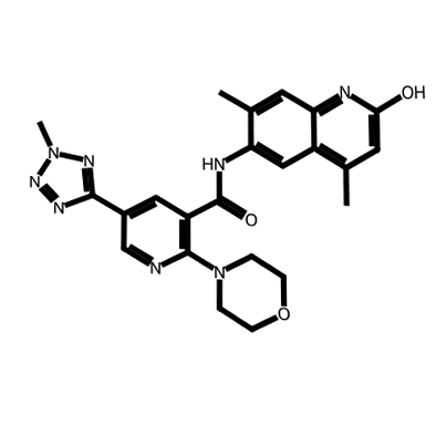 Cc1cc2nc(O)cc(C)c2cc1NC(=O)c1cc(-c2nnn(C)n2)cnc1N1CCOCC1